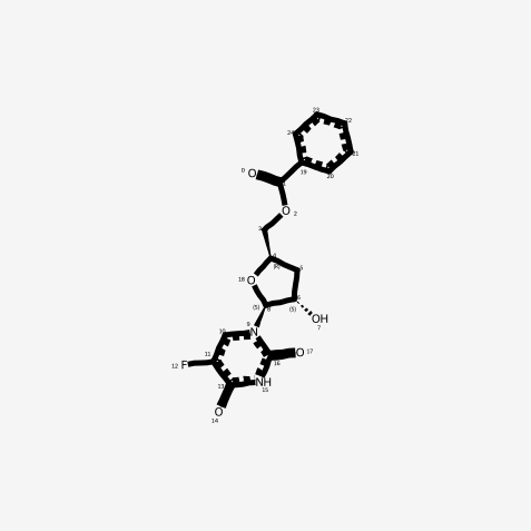 O=C(OC[C@H]1C[C@H](O)[C@@H](n2cc(F)c(=O)[nH]c2=O)O1)c1ccccc1